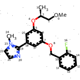 COC[C@H](C)Oc1cc(OCc2ccccc2F)cc(-c2nccn2C)c1